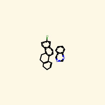 Clc1ccc2c3c(ccc2c1)C1=C(CCC=C1)CC3.c1ccc2ncncc2c1